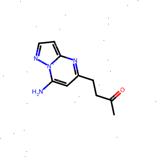 CC(=O)CCc1cc(N)n2nccc2n1